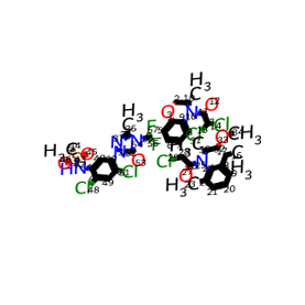 CC1COc2ccccc2N1C(=O)C(Cl)Cl.CCc1cccc(C)c1N(C(=O)CCl)C(C)COC.Cc1nn(-c2cc(NS(C)(=O)=O)c(Cl)cc2Cl)c(=O)n1C(F)F